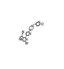 COc1ccc(CN2CCN(c3ccc(-c4nc(Br)cn5ncc(C#N)c45)cn3)CC2)cn1